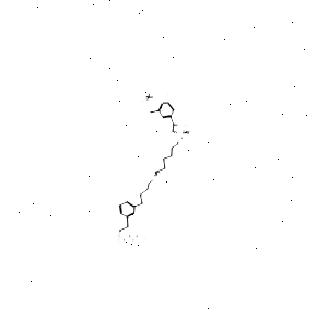 CNCCc1cccc(CCCCOCCCCCCN2CC(c3ccc4c(c3)COC(C)(C)O4)OC2=O)c1